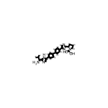 CC(C)[C@H](N)c1ncc(-c2ccc(-c3ccc(-c4cnc(C5CCCN5C(=O)O)[nH]4)cc3)cc2)[nH]1